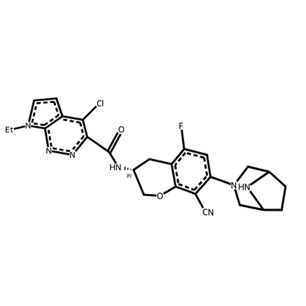 CCn1ccc2c(Cl)c(C(=O)N[C@H]3COc4c(C#N)c(N5CC6CCC(C5)N6)cc(F)c4C3)nnc21